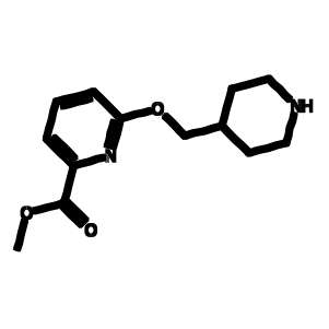 COC(=O)c1cccc(OCC2CCNCC2)n1